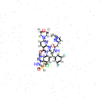 CC(C)n1ccc(CC(=O)N[C@@H](Cc2cc(F)cc(F)c2)c2nc3nc(N4C[C@@H](C)O[C@@H](C)C4)ccc3c(=O)n2-c2ccc(Cl)c3c(NS(C)(=O)=O)nn(C)c23)n1